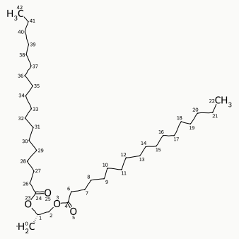 [CH2][C@@H](COC(=O)CCCCCCCCCCCCCCCCC)OC(=O)CCCCCCCCCCCCCCCCC